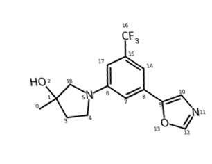 CC1(O)CCN(c2cc(-c3cnco3)cc(C(F)(F)F)c2)C1